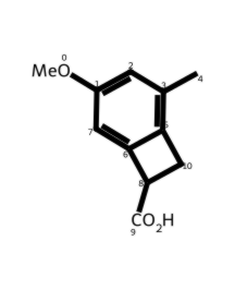 COc1cc(C)c2c(c1)C(C(=O)O)C2